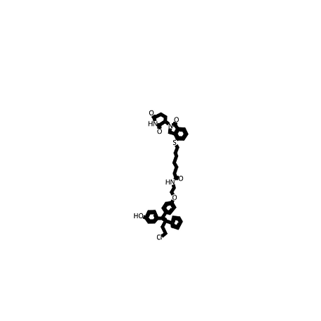 O=C(CCCCCCSc1cccc2c1CN(C1CCC(=O)NC1=O)C2=O)NCCOc1ccc(/C(=C(/CCCl)c2ccccc2)c2ccc(O)cc2)cc1